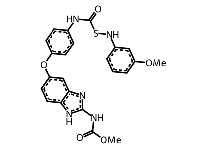 COC(=O)Nc1nc2cc(Oc3ccc(NC(=O)SNc4cccc(OC)c4)cc3)ccc2[nH]1